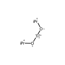 CC(C)[O][Ti+2][O]C(C)C